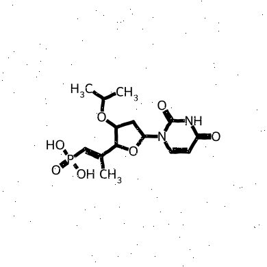 C/C(=C\P(=O)(O)O)C1OC(n2ccc(=O)[nH]c2=O)CC1OC(C)C